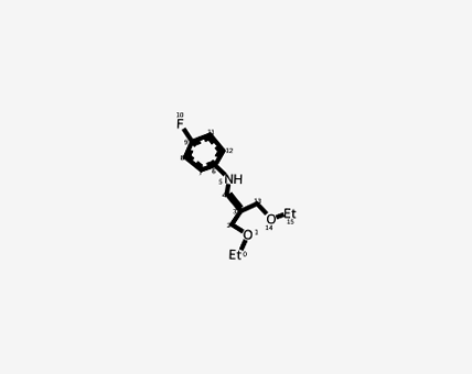 CCOCC(=CNc1ccc(F)cc1)COCC